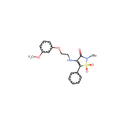 CC(C)(C)N1C(=O)C(NCCOc2cccc(OC(F)(F)F)c2)=C(c2ccccc2)S1(=O)=O